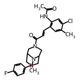 CC(=O)Nc1cc(Cl)c(C)cc1/C=C/C(=O)N1CC2CN(C)CC(C1)N2Cc1ccc(F)cc1